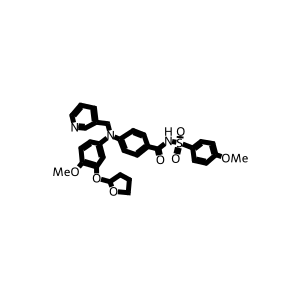 COc1ccc(S(=O)(=O)NC(=O)c2ccc(N(Cc3cccnc3)c3ccc(OC)c(OC4CCCO4)c3)cc2)cc1